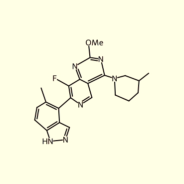 COc1nc(N2CCCC(C)C2)c2cnc(-c3c(C)ccc4[nH]ncc34)c(F)c2n1